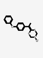 CC(=C1SC[S+]([O-])CS1)c1ccc(Oc2ccccc2)cc1